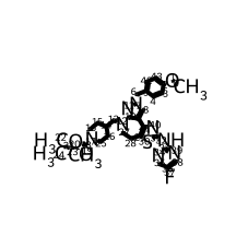 COc1ccc(Cn2cc3c(n2)N(CC2CCN(C(=O)OC(C)(C)C)CC2)CCc2sc(Nc4ncc(F)cn4)nc2-3)cc1